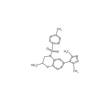 Cc1ccc(S(=O)(=O)N2CC(C(=O)O)Oc3ccc(-c4c(C)noc4C)cc32)cc1